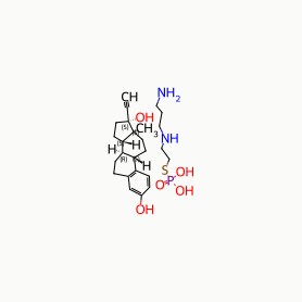 C#C[C@]1(O)CC[C@H]2[C@@H]3CCc4cc(O)ccc4[C@H]3CC[C@@]21C.NCCCNCCSP(=O)(O)O